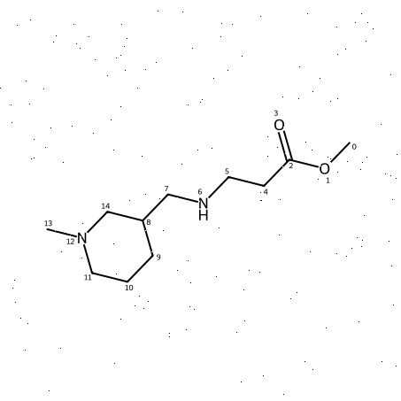 COC(=O)CCNCC1CCCN(C)C1